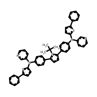 CC(C)(C)n1c(-c2ccc(N(c3cccnc3)c3ccc(-c4ccccc4)s3)cc2)ccc1-c1ccc(N(c2cccnc2)c2ccc(-c3ccccc3)s2)cc1